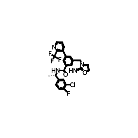 C[C@H](NC(=O)c1cc(Cn2ccoc2=N)cc(-c2cccnc2C(F)(F)F)c1)c1ccc(F)c(Cl)c1